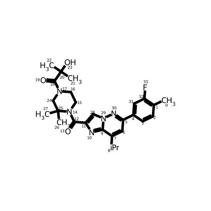 Cc1ccc(-c2cc(C(C)C)c3nc(C(=O)N4CCN(C(=O)C(C)(C)O)CC4(C)C)cn3n2)cc1F